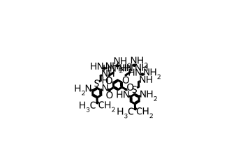 C=C(C)c1cc(N)c(SCCNC(=N)N)c(NC(=O)c2cc(C(=O)Nc3cc(C(=C)C)cc(N)c3SCCNC(=N)N)c(OCCNC(=N)N)cc2OCCNC(=N)N)c1